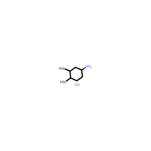 Cl.NC1CCC([SeH])C([SeH])C1